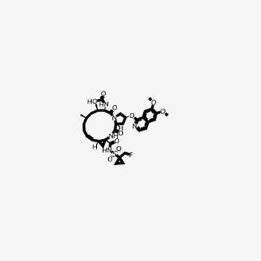 COc1cc2ccnc(O[C@@H]3C[C@H]4C(=O)N[C@]5(C(=O)NS(=O)(=O)C6(CF)CC6)C[C@H]5C=CCC[C@@H](C)C[C@@H](C)[C@H](NC(=O)O)C(=O)N4C3)c2cc1OC